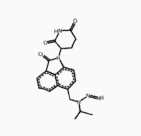 CC(C)N(Cc1ccc2c3c(cccc13)C(=O)N2C1CCC(=O)NC1=O)N=N